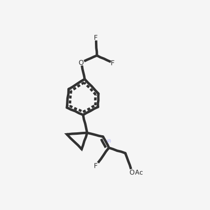 CC(=O)OC/C(F)=C/C1(c2ccc(OC(F)F)cc2)CC1